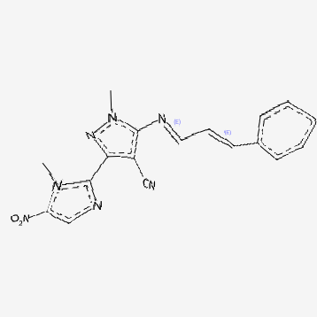 Cn1nc(-c2ncc([N+](=O)[O-])n2C)c(C#N)c1/N=C/C=C/c1ccccc1